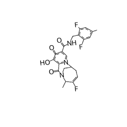 Cc1cc(F)c(CNC(=O)c2cn3c(c(O)c2=O)C(=O)N2CC3CC=C(F)C2C)c(F)c1